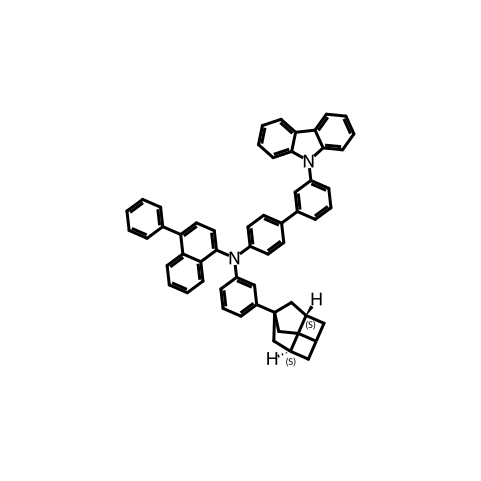 c1ccc(-c2ccc(N(c3ccc(-c4cccc(-n5c6ccccc6c6ccccc65)c4)cc3)c3cccc(C45C[C@@H]6CC7C[C@@H](C4)C76C5)c3)c3ccccc23)cc1